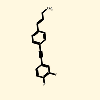 CCC=Cc1ccc(C#Cc2ccc(F)c(F)c2)cc1